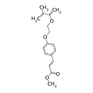 C=C(C)C(=C)OCCOc1ccc(/C=C/C(=O)OC)cc1